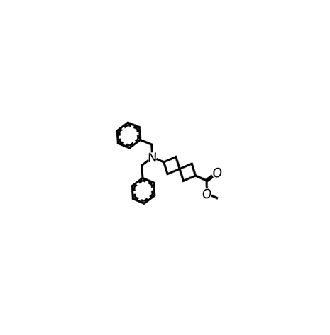 COC(=O)C1CC2(C1)CC(N(Cc1ccccc1)Cc1ccccc1)C2